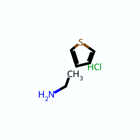 CCN.Cl.c1ccsc1